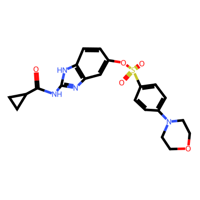 O=C(Nc1nc2cc(OS(=O)(=O)c3ccc(N4CCOCC4)cc3)ccc2[nH]1)C1CC1